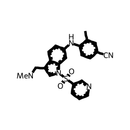 CNCc1cn(S(=O)(=O)c2cccnc2)c2cc(Nc3ccc(C#N)cc3C)ccc12